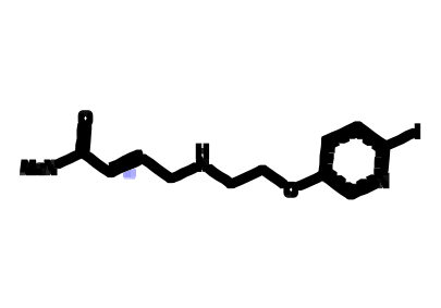 CNC(=O)/C=C/CNCCOc1ccc(I)nc1